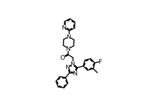 Cc1cc(-c2nc(-c3ccccc3)nn2CC(=O)N2CCN(c3ccccn3)CC2)ccc1F